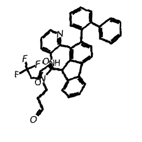 O=CCCN(CC(F)(F)F)C(=O)C1c2ccccc2-c2ccc(-c3ccccc3-c3ccccc3)c(-c3ncccc3NC=O)c21